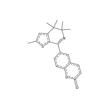 Cc1cc2c(s1)C(c1ccc3oc(=O)ccc3c1)=NC(C)(C)C2(C)C